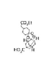 CCOC(=O)CC1CCC2(CC1)OO[C@@]1(O2)[C@@H]2C[C@@H]3C[C@H]1C[C@@](C(=O)O)(C3)C2